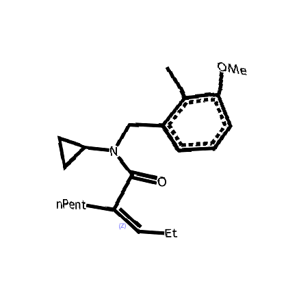 CC/C=C(/CCCCC)C(=O)N(Cc1cccc(OC)c1C)C1CC1